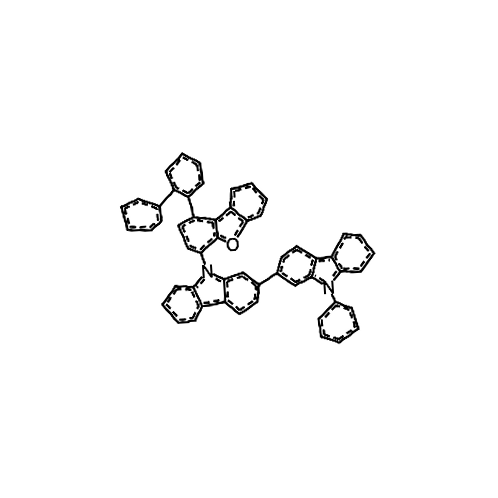 c1ccc(-c2ccccc2-c2ccc(-n3c4ccccc4c4ccc(-c5ccc6c7ccccc7n(-c7ccccc7)c6c5)cc43)c3oc4ccccc4c23)cc1